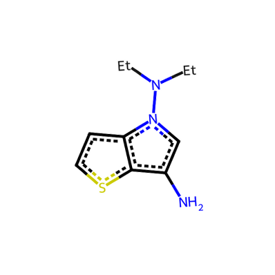 CCN(CC)n1cc(N)c2sccc21